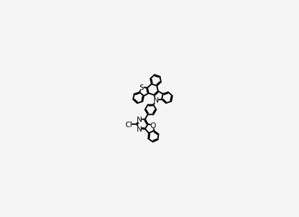 Clc1nc(-c2ccc(-n3c4ccccc4c4c5ccccc5c5sc6ccccc6c5c43)cc2)c2oc3ccccc3c2n1